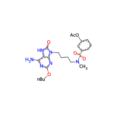 CCCCOc1nc(N)c2[nH]c(=O)n(CCCCN(C)S(=O)(=O)c3cccc(OC(C)=O)c3)c2n1